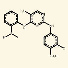 CCP(C)c1ccccc1Nc1nc(Nc2ccc(C(=O)O)c(Cl)c2)ncc1C(F)(F)F